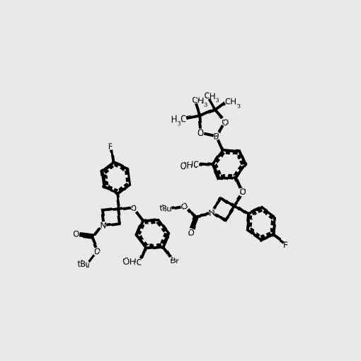 CC(C)(C)OC(=O)N1CC(Oc2ccc(B3OC(C)(C)C(C)(C)O3)c(C=O)c2)(c2ccc(F)cc2)C1.CC(C)(C)OC(=O)N1CC(Oc2ccc(Br)c(C=O)c2)(c2ccc(F)cc2)C1